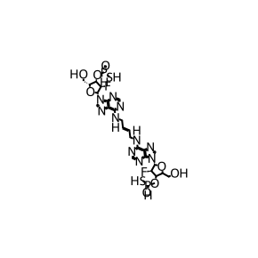 O=[PH](S)OC1C(CO)O[C@@H](n2cnc3c(NC/C=C/CNc4ncnc5c4ncn5[C@@H]4O[C@H](CO)[C@@H](O[PH](=O)S)[C@H]4F)ncnc32)[C@@H]1F